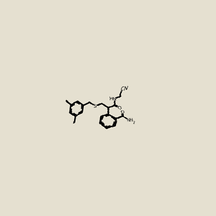 Cc1cc(C)cc(CSCC(C(=O)NCC#N)c2ccccc2C(N)=O)c1